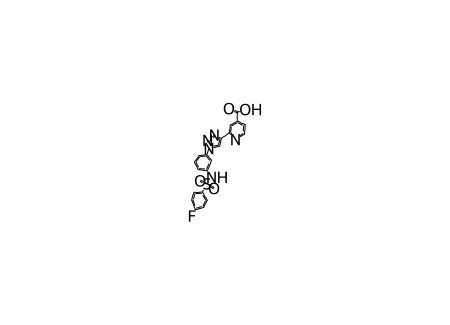 O=C(O)c1ccnc(-c2cn(-c3cccc(NS(=O)(=O)c4ccc(F)cc4)c3)nn2)c1